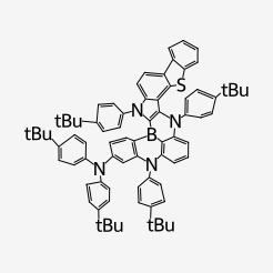 CC(C)(C)c1ccc(N(c2ccc(C(C)(C)C)cc2)c2ccc3c(c2)N(c2ccc(C(C)(C)C)cc2)c2cccc4c2B3c2c(c3c5sc6ccccc6c5ccc3n2-c2ccc(C(C)(C)C)cc2)N4c2ccc(C(C)(C)C)cc2)cc1